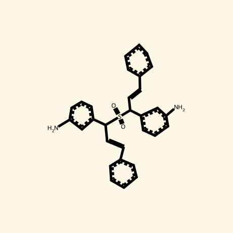 Nc1cccc(C(C=Cc2ccccc2)S(=O)(=O)C(C=Cc2ccccc2)c2cccc(N)c2)c1